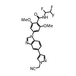 COc1cc(-n2cnc3cc(-c4cnn(CC#N)c4)ccc32)cc(OC)c1C(=O)NC(F)C(F)F